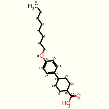 CCCCCCCCOc1ccc(C2CCC(C(=O)O)CC2)cc1